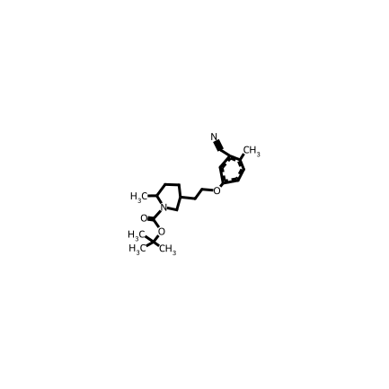 Cc1ccc(OCCC2CCC(C)N(C(=O)OC(C)(C)C)C2)cc1C#N